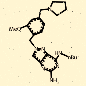 CCCCNc1nc(N)nc2cn(Cc3ccc(CN4CCCC4)cc3OC)nc12